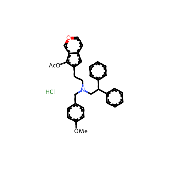 COc1ccc(CN(CCc2cc3ccocc-3c2OC(C)=O)CC(c2ccccc2)c2ccccc2)cc1.Cl